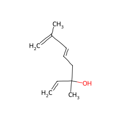 C=CC(C)(O)C/C=C/C(=C)C